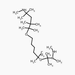 CNN(C)C(C)(C)OC(C)(C)CCCCOC(C)(C)C(C)(C)CC(C)(C)NC